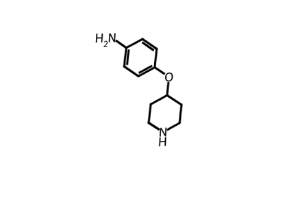 Nc1ccc(OC2CCNCC2)cc1